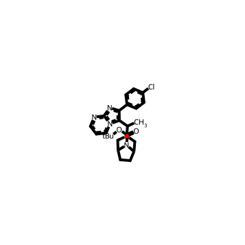 CC(c1c(-c2ccc(Cl)cc2)nc2ncccn12)N1CC2CCC(C1)N2C(=O)OC(C)(C)C